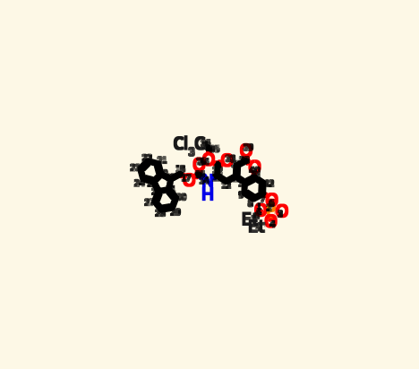 CCOP(=O)(OCC)Oc1ccc2c(CC(NC(=O)OCC3c4ccccc4-c4ccccc43)C(=O)OCC(Cl)(Cl)Cl)cc(=O)oc2c1